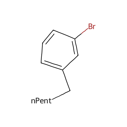 [CH]CCCCCc1cccc(Br)c1